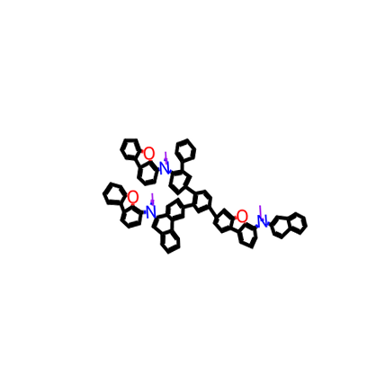 IN(c1ccc2ccccc2c1)c1cccc2c1oc1cc(-c3ccc(-c4ccc(N(I)c5cccc6c5oc5ccccc56)c(-c5ccccc5)c4)c(-c4ccc5c(N(I)c6cccc7c6oc6ccccc67)cc6ccccc6c5c4)c3)ccc12